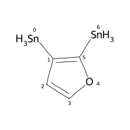 [SnH3][c]1cco[c]1[SnH3]